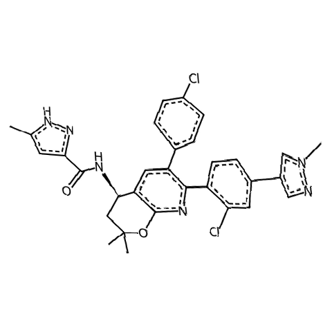 Cc1cc(C(=O)N[C@@H]2CC(C)(C)Oc3nc(-c4ccc(-c5cnn(C)c5)cc4Cl)c(-c4ccc(Cl)cc4)cc32)n[nH]1